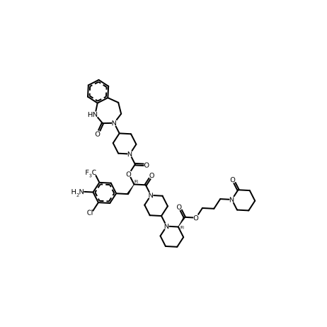 Nc1c(Cl)cc(C[C@@H](OC(=O)N2CCC(N3CCc4ccccc4NC3=O)CC2)C(=O)N2CCC(N3CCCC[C@@H]3C(=O)OCCCN3CCCCC3=O)CC2)cc1C(F)(F)F